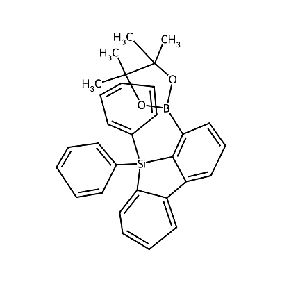 CC1(C)OB(c2cccc3c2[Si](c2ccccc2)(c2ccccc2)c2ccccc2-3)OC1(C)C